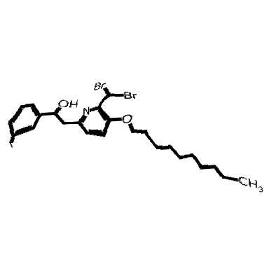 CCCCCCCCCCOc1ccc(CC(O)c2cccc(I)c2)nc1C(Br)Br